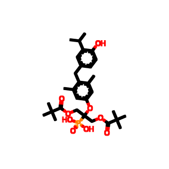 Cc1cc(OC(COC(=O)C(C)(C)C)(COC(=O)C(C)(C)C)P(=O)(O)O)cc(C)c1Cc1ccc(O)c(C(C)C)c1